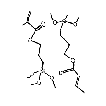 C=C(C)C(=O)OCCC[Si](OC)(OC)OC.CC=CC(=O)OCCC[Si](C)(OC)OC